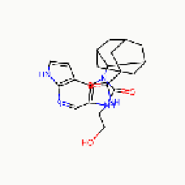 O=C(NCCO)C12CC3CC(C1)C(n1c(=O)[nH]c4cnc5[nH]ccc5c41)C(C3)C2